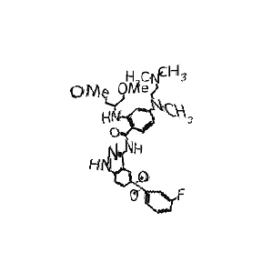 COCC(COC)Nc1cc(N(C)CCN(C)C)ccc1C(=O)Nc1n[nH]c2ccc(S(=O)(=O)c3cccc(F)c3)cc12